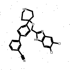 N#Cc1cccc(-c2ccc(C3(OCc4nc5cc(Cl)c(Cl)cc5[nH]4)CCNCC3)cc2)c1